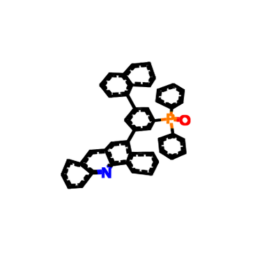 O=P(c1ccccc1)(c1ccccc1)c1cc(-c2cccc3ccccc23)cc(-c2cc3cc4ccccc4nc3c3ccccc23)c1